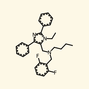 CCCCN(Cc1c(F)cccc1F)Cc1c(-c2ccccc2)nc(-c2ccccc2)n1CC